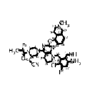 C=C(F)C(=O)N1CCN(c2nc(Oc3cccc4c3CCN(C)C4)nc3c2CCCN3Cc2c(Cl)c(F)cc(N)c2C=N)C[C@@H]1CC#N